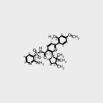 COc1ccc(-c2ccc(C(=O)NS(=O)(=O)c3cccnc3N)c(N3CCC(C)C3(C)C)n2)c(C)c1